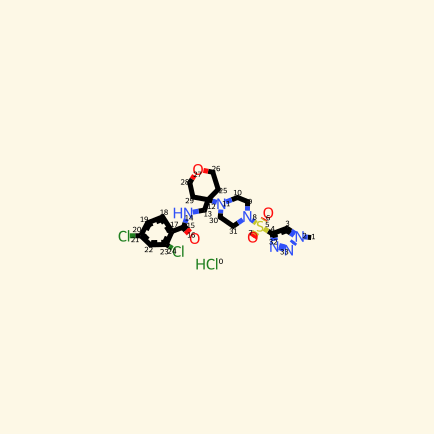 Cl.Cn1cc(S(=O)(=O)N2CCN(C3(CNC(=O)c4ccc(Cl)cc4Cl)CCOCC3)CC2)nn1